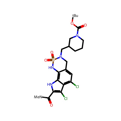 CNC(=O)c1[nH]c2c3c(cc(Cl)c2c1Cl)CN(CC1CCCN(C(=O)OC(C)(C)C)C1)S(=O)(=O)N3